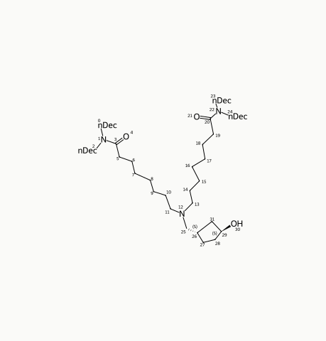 CCCCCCCCCCN(CCCCCCCCCC)C(=O)CCCCCCCN(CCCCCCCC(=O)N(CCCCCCCCCC)CCCCCCCCCC)C[C@H]1CC[C@H](O)C1